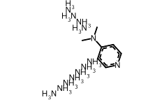 CN(C)c1ccncc1.N.N.N.N.N.N.N.N.N.N.N